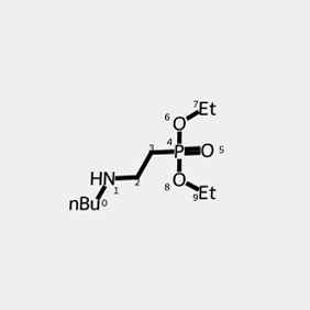 CCCCNCCP(=O)(OCC)OCC